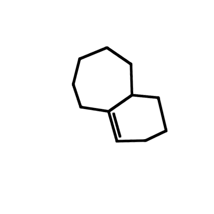 C1=C2CCCCCC2CCC1